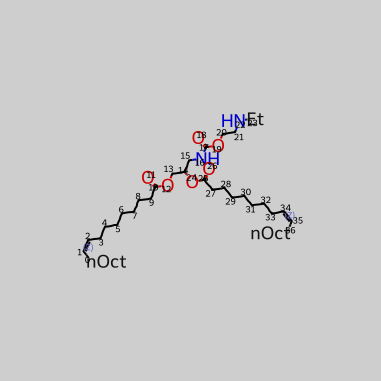 CCCCCCCC/C=C\CCCCCCCC(=O)OCC(CNC(=O)OCCNCC)OC(=O)CCCCCCC/C=C\CCCCCCCC